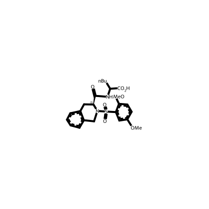 CCCCC(NC(=O)[C@@H]1Cc2ccccc2CN1S(=O)(=O)c1cc(OC)ccc1OC)C(=O)O